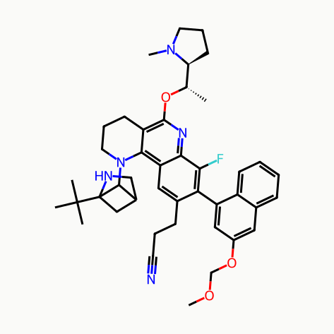 COCOc1cc(-c2c(CCC#N)cc3c4c(c(O[C@@H](C)[C@@H]5CCCN5C)nc3c2F)CCCN4C2C3CNC2(C(C)(C)C)C3)c2ccccc2c1